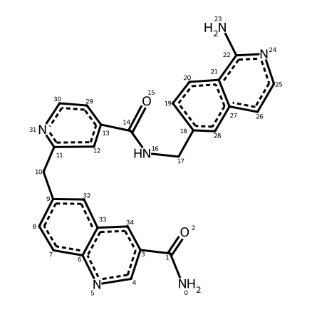 NC(=O)c1cnc2ccc(Cc3cc(C(=O)NCc4ccc5c(N)nccc5c4)ccn3)cc2c1